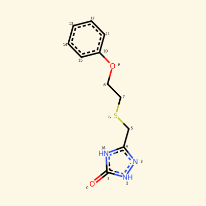 O=c1[nH]nc(CSCCOc2ccccc2)[nH]1